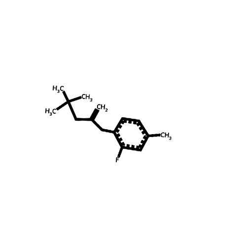 C=C(Cc1ccc(C)cc1F)CC(C)(C)C